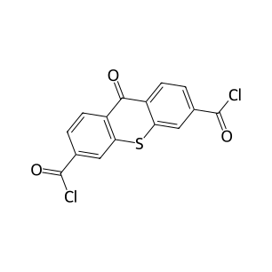 O=C(Cl)c1ccc2c(=O)c3ccc(C(=O)Cl)cc3sc2c1